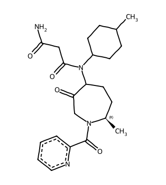 CC1CCC(N(C(=O)CC(N)=O)C2CC[C@@H](C)N(C(=O)c3ccccn3)CC2=O)CC1